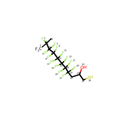 CC(F)(C(F)(F)F)C(F)(F)C(F)(F)C(F)(F)C(F)(F)C(F)(F)C(F)(F)CC(O)CS